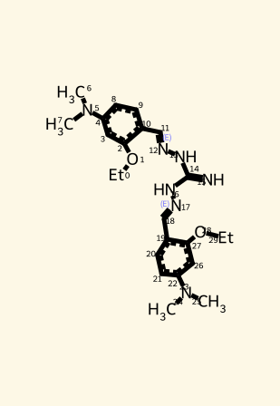 CCOc1cc(N(C)C)ccc1/C=N/NC(=N)N/N=C/c1ccc(N(C)C)cc1OCC